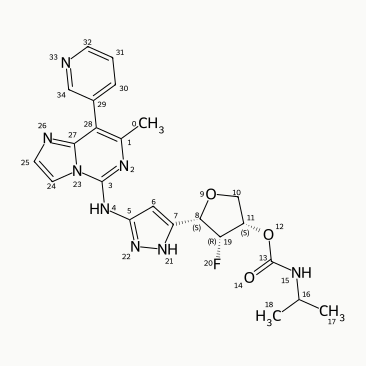 Cc1nc(Nc2cc([C@@H]3OC[C@H](OC(=O)NC(C)C)[C@@H]3F)[nH]n2)n2ccnc2c1-c1cccnc1